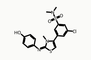 CN(C)S(=O)(=O)c1cc(Cl)cc(-c2csc(=Nc3ccc(O)cc3)n2C)c1